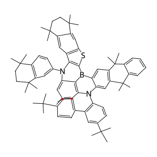 Cc1cc2c3c(c1)N(c1ccc4c(c1)C(C)(C)CCC4(C)C)c1c(sc4cc5c(cc14)C(C)(C)CCC5(C)C)B3c1cc3c(cc1N2c1ccc(C(C)(C)C)cc1-c1ccc(C(C)(C)C)cc1)C(C)(C)c1ccccc1C3(C)C